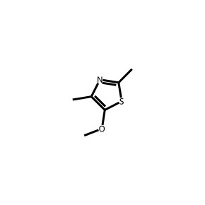 COc1sc(C)nc1C